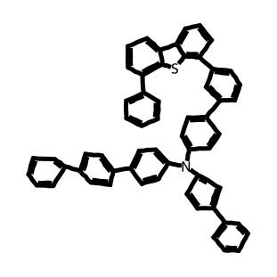 c1ccc(-c2ccc(-c3ccc(N(c4ccc(-c5ccccc5)cc4)c4ccc(-c5cccc(-c6cccc7c6sc6c(-c8ccccc8)cccc67)c5)cc4)cc3)cc2)cc1